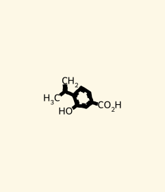 C=C(C)c1ccc(C(=O)O)cc1O